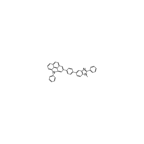 Cn1c(-c2ccccc2)nc2cc(-c3ccc(-c4cc5ccc6cccc7c6c5c(c4)n7-c4ccccc4)cc3)ccc21